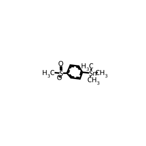 CS(=O)(=O)c1cc[c]([Sn]([CH3])([CH3])[CH3])cc1